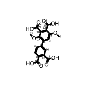 COc1cc(-c2ccc(C(=O)O)c(C(=O)O)c2)c(OC)c(C(=O)O)c1C(=O)O